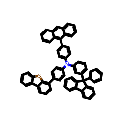 c1ccc(C2(c3cccc(N(c4ccc(-c5c6ccccc6cc6ccccc56)cc4)c4ccc(-c5cccc6c5sc5ccccc56)cc4)c3)c3ccccc3-c3ccccc32)cc1